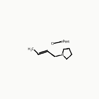 CC=CCN1CCCC1.CCCCCCl